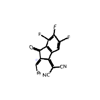 CC(C)/C=C1/C(=O)c2c(cc(F)c(F)c2F)C1=C(C#N)C#N